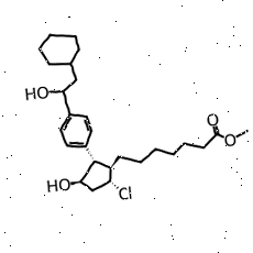 COC(=O)CCCCCC[C@@H]1[C@@H](c2ccc(C(O)CC3CCCCC3)cc2)[C@H](O)C[C@H]1Cl